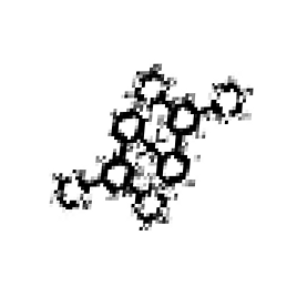 CC(C)(c1ccccc1-c1cc(-c2ncncn2)cc(-c2ncncn2)c1)c1ccccc1-c1cc(-c2ncncn2)cc(-c2ncncn2)c1